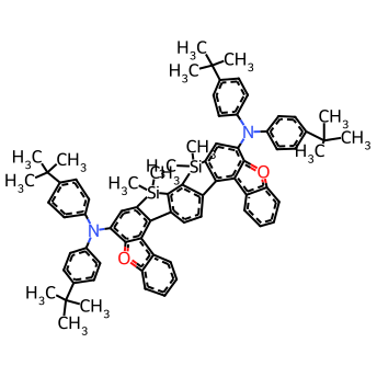 CC(C)(C)c1ccc(N(c2ccc(C(C)(C)C)cc2)c2cc3c(c4c2oc2ccccc24)-c2ccc4c(c2[Si]3(C)C)[Si](C)(C)c2cc(N(c3ccc(C(C)(C)C)cc3)c3ccc(C(C)(C)C)cc3)c3oc5ccccc5c3c2-4)cc1